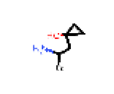 CCC(N)CC1(O)CC1